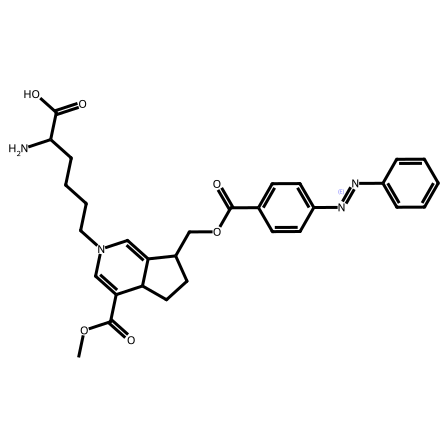 COC(=O)C1=CN(CCCCC(N)C(=O)O)C=C2C(COC(=O)c3ccc(/N=N/c4ccccc4)cc3)CCC12